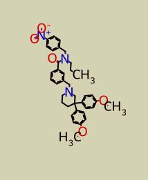 CCCN(Cc1ccc([N+](=O)[O-])cc1)C(=O)c1cccc(CN2CCCC(c3ccc(OC)cc3)(c3ccc(OC)cc3)C2)c1